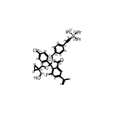 C=C(C)c1cc(F)c2c(c1)C(=O)N(Cc1ccc(C#C[Si](C(C)C)(C(C)C)C(C)C)cc1)C2(OCC1(CO)CC1)c1ccc(Cl)cc1